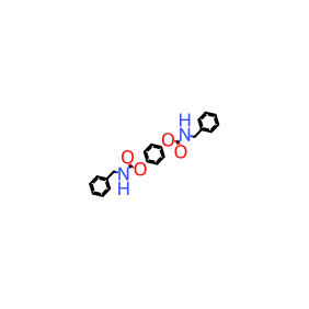 O=C(NCc1ccccc1)Oc1ccc(OC(=O)NCc2ccccc2)cc1